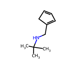 CC(C)(C)NCC1=CC=CC1